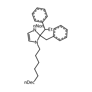 CCCCCCCCCCCCCCCN1C=CN(CCCCCCCCC)C1(Cc1ccccc1)C(CC)c1ccccc1